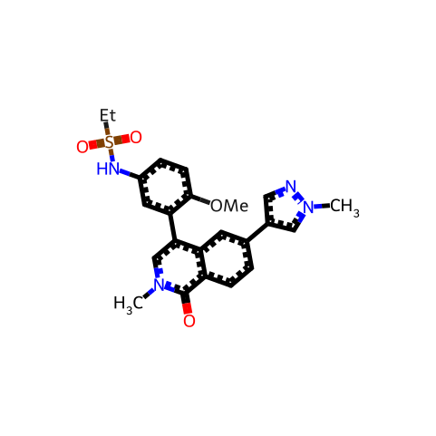 CCS(=O)(=O)Nc1ccc(OC)c(-c2cn(C)c(=O)c3ccc(-c4cnn(C)c4)cc23)c1